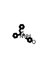 COc1ccc(CNc2nc(-c3ccccc3)c(Cc3ccccc3)s2)cc1